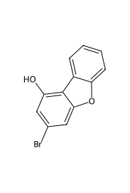 Oc1cc(Br)cc2oc3ccccc3c12